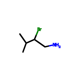 CC(C)C(Br)CN